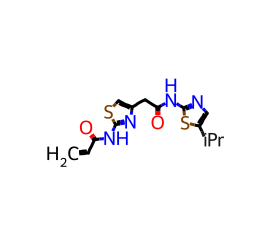 C=CC(=O)Nc1nc(CC(=O)Nc2ncc(C(C)C)s2)cs1